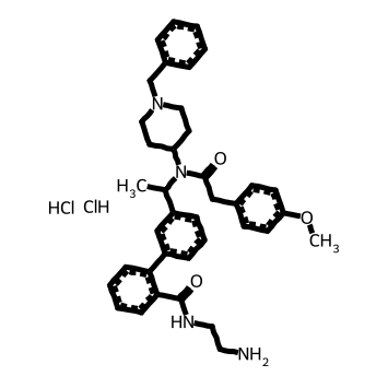 COc1ccc(CC(=O)N(C2CCN(Cc3ccccc3)CC2)C(C)c2cccc(-c3ccccc3C(=O)NCCN)c2)cc1.Cl.Cl